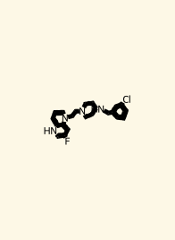 FC1=CNC2=CC=CN(CCN3CCC(NCc4cccc(Cl)c4)CC3)C2=C1